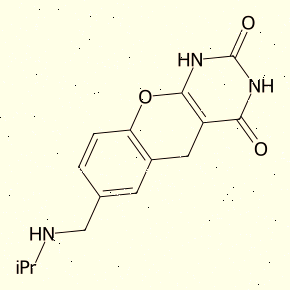 CC(C)NCc1ccc2c(c1)Cc1c([nH]c(=O)[nH]c1=O)O2